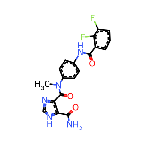 CN(C(=O)c1nc[nH]c1C(N)=O)c1ccc(NC(=O)c2cccc(F)c2F)cc1